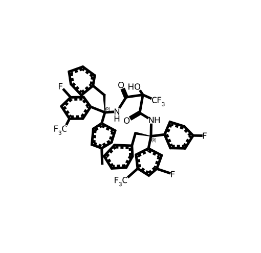 Cc1ccc([C@@](Cc2ccccc2)(NC(=O)C(O)(C(=O)N[C@](Cc2ccccc2)(c2ccc(F)cc2)c2cc(F)cc(C(F)(F)F)c2)C(F)(F)F)c2cc(F)cc(C(F)(F)F)c2)cc1